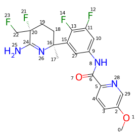 COc1ccc(C(=O)Nc2cc(F)c(F)c([C@]3(C)CC[C@](F)(CF)C(N)=N3)c2)nc1